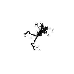 CCCCC/C=C\C/C=C\CCCCCCCCC1(CCCCCCCC/C=C\C/C=C\CCCCC)CCC2(CC1)O[C@H]1C[C@H](CCCOP(=O)(O)OCCN)[C@H](N(C)CCOP(=O)(O)OCCN)C[C@@H]1O2